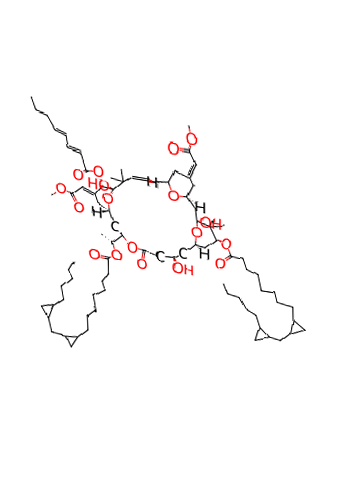 CCC/C=C/C=C/C(=O)O[C@H]1/C(=C/C(=O)OC)C[C@H]2C[C@H]([C@@H](C)OC(=O)CCCCCCCC3CC3CC3CC3CCCCC)OC(=O)C[C@H](O)C[C@@H]3C[C@H](OC(=O)CCCCCCCC4CC4CC4CC4CCCCC)C(C)(C)[C@](O)(C[C@@H]4C/C(=C/C(=O)OC)C[C@H](/C=C/C(C)(C)[C@]1(O)O2)O4)O3